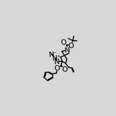 C=CCC1CC2(CN(C(=O)OC(C)(C)C)C2)CC1(N=[N+]=[N-])C(=O)OCc1ccccc1